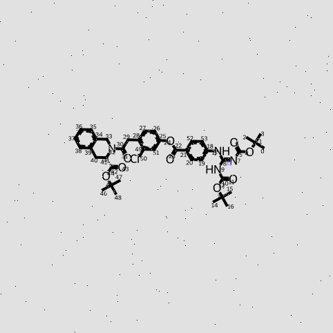 CC(C)(C)OC(=O)/N=C(/NC(=O)OC(C)(C)C)Nc1ccc(C(=O)Oc2ccc(CC(=O)N3Cc4ccccc4C[C@H]3C(=O)OC(C)(C)C)c(Cl)c2)cc1